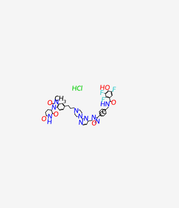 Cl.Cn1c(=O)n([C@@H]2CCC(=O)NC2=O)c2ccc(CCCN3CCN(c4nccc(-c5nc(C67CCC(CNC(=O)c8cc(F)c(O)c(F)c8F)(CC6)CC7)no5)n4)CC3)cc21